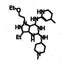 CCOCCN1NC(CC)C2NC(NC3CCN(C)CC3)NC(NC3=CC(C)CCN3)C21